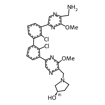 COc1nc(-c2cccc(-c3cccc(-c4cnc(CN5CC[C@@H](O)C5)c(OC)n4)c3Cl)c2Cl)cnc1CN